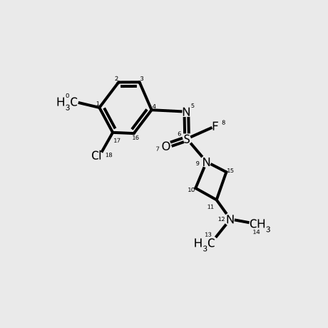 Cc1ccc(N=S(=O)(F)N2CC(N(C)C)C2)cc1Cl